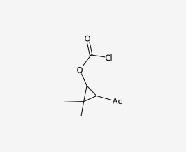 CC(=O)C1C(OC(=O)Cl)C1(C)C